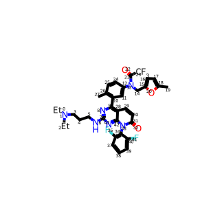 CCN(CC)CCCNc1nc(-c2cc(N(Cc3ccc(C)o3)C(=O)C(F)(F)F)ccc2C)c2ccc(=O)n(-c3c(F)cccc3F)c2n1